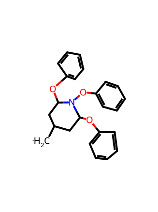 [CH2]C1CC(Oc2ccccc2)N(Oc2ccccc2)C(Oc2ccccc2)C1